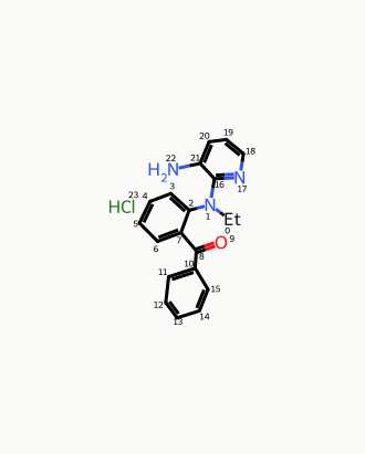 CCN(c1ccccc1C(=O)c1ccccc1)c1ncccc1N.Cl